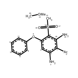 CC(=O)c1c(N)cc(Oc2ccccc2)c(S(C)(=O)=O)c1N.COC